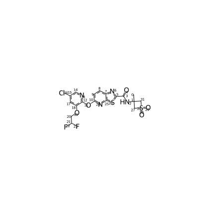 CC1(NC(=O)c2nc3ccc(Oc4ncc(Cl)cc4OCC(F)F)nc3s2)CS(=O)(=O)C1